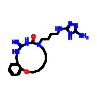 N=C1NCc2ccccc2OCCCCCCN(CCCCNc2nnc(N)[nH]2)C(=O)N1